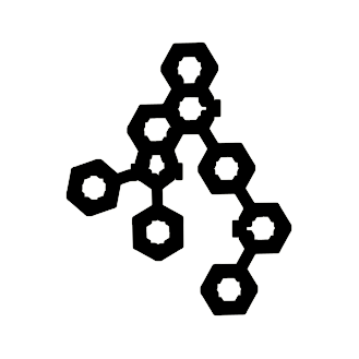 c1ccc(-c2cccc(-c3ccc(-c4nc5ccccc5c5ccc6c(nc(-c7ccccc7)n6-c6ccccc6)c45)cc3)n2)cc1